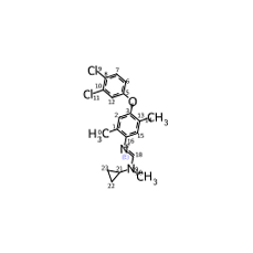 Cc1cc(Oc2ccc(Cl)c(Cl)c2)c(C)cc1/N=C/N(C)C1CC1